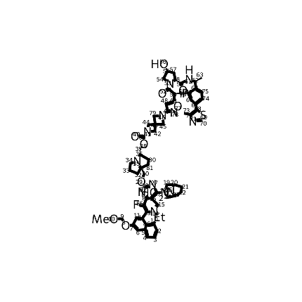 CCc1cccc2cc(OCOC)cc(-c3ncc4c(N5CC6CCC(C5)N6C(=O)O)nc(OC[C@@]56CCCN5[C@H](COC(=O)N5CC7(C5)CN(c5cc([C@@H](C(=O)N8C[C@@H](O)C[C@H]8C(=O)N[C@@H](C)c8ccc(-c9scnc9C)cc8)C(C)C)on5)C7)CC6)nc4c3F)c12